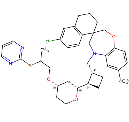 CC(CO[C@H]1CCO[C@@H]([C@@H]2CC[C@H]2CN2CC3(CCCc4cc(Cl)ccc43)COc3ccc(C(=O)O)cc32)C1)Sc1ncccn1